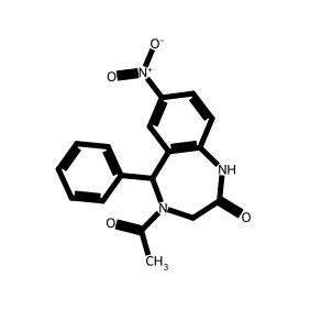 CC(=O)N1CC(=O)Nc2ccc([N+](=O)[O-])cc2C1c1ccccc1